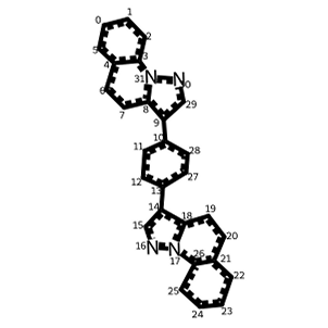 c1ccc2c(c1)ccc1c(-c3ccc(-c4cnn5c4ccc4ccccc45)cc3)cnn12